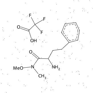 CON(C)C(=O)C(N)CCc1ccccc1.O=C(O)C(F)(F)F